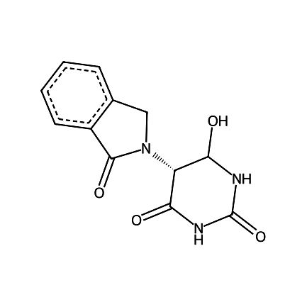 O=C1NC(=O)[C@H](N2Cc3ccccc3C2=O)C(O)N1